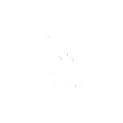 O=Cc1cc2nnn(CCCO)c2c2c1OCO2